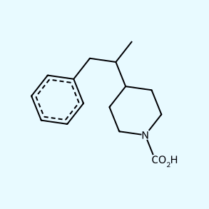 CC(Cc1ccccc1)C1CCN(C(=O)O)CC1